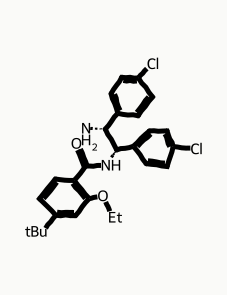 CCOc1cc(C(C)(C)C)ccc1C(=O)N[C@@H](c1ccc(Cl)cc1)[C@H](N)c1ccc(Cl)cc1